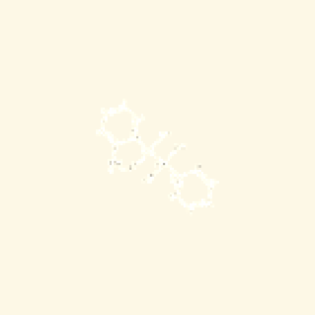 Nc1ccccc1C(F)(F)C(F)(F)c1ccccc1